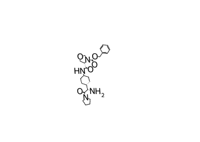 N[C@H](C(=O)N1CCCC1)[C@H]1CC[C@H](NC(=O)[C@@H]2COCN2C(=O)OCc2ccccc2)CC1